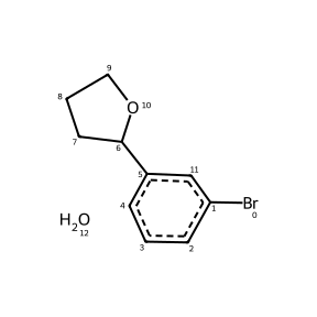 Brc1cccc(C2CCCO2)c1.O